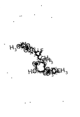 C/C(=C\c1cc(F)cc(N2CCN(S(=O)(=O)c3cn(C)cn3)CC2)c1)[C@H]1OC(=O)C[C@H](O)CC[C@H](C)[C@@H](OC(=O)N2CCN(C)CC2)/C=C/[C@@H]1C